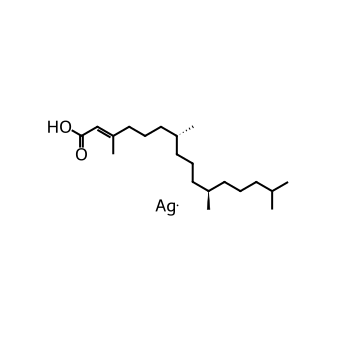 C/C(=C\C(=O)O)CCC[C@H](C)CCC[C@H](C)CCCC(C)C.[Ag]